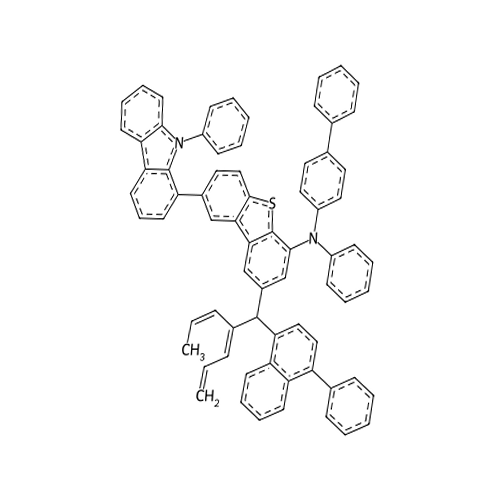 C=C/C=C(\C=C/C)C(c1cc(N(c2ccccc2)c2ccc(-c3ccccc3)cc2)c2sc3ccc(-c4cccc5c6ccccc6n(-c6ccccc6)c45)cc3c2c1)c1ccc(-c2ccccc2)c2ccccc12